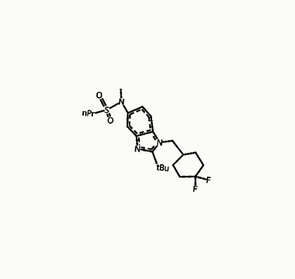 CCCS(=O)(=O)N(C)c1ccc2c(c1)nc(C(C)(C)C)n2CC1CCC(F)(F)CC1